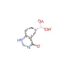 O=c1nc[nH]c2ccc(B(O)O)cc12